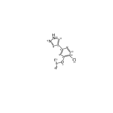 FC(F)Oc1cc(-c2cn[nH]c2)ccc1Cl